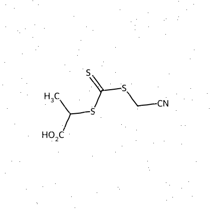 CC(SC(=S)SCC#N)C(=O)O